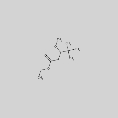 CCOC(=O)CC(OC)C(C)(C)C